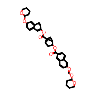 O=C(OC1CC2CC1CC2C(=O)Oc1ccc2cc(OC3CCCCO3)ccc2c1)c1ccc2cc(OCOC3CCCCO3)ccc2c1